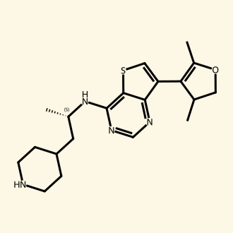 CC1=C(c2csc3c(N[C@@H](C)CC4CCNCC4)ncnc23)C(C)CO1